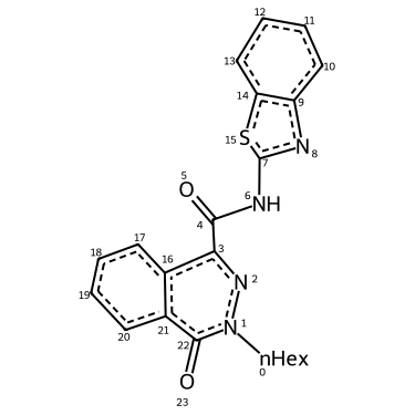 CCCCCCn1nc(C(=O)Nc2nc3ccccc3s2)c2ccccc2c1=O